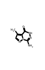 Cc1cnn2c(N)n[nH]c(=O)c12